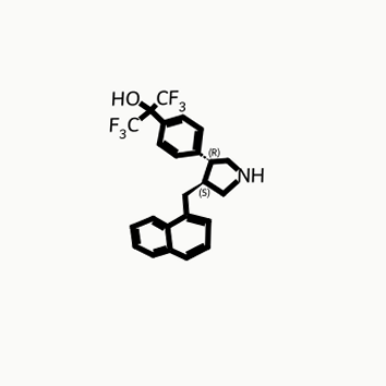 OC(c1ccc([C@@H]2CNC[C@H]2Cc2cccc3ccccc23)cc1)(C(F)(F)F)C(F)(F)F